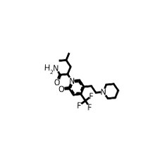 CC(C)CC(C(N)=O)n1cc(CCN2CCCCC2)c(C(F)(F)F)cc1=O